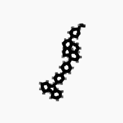 CC(C)(C)c1ccc(-c2ccc3ccc4c(-c5ccc(-c6ccc(-n7c8ccccc8c8ccccc87)cc6)cc5)ccc5ccc2c3c54)cc1